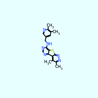 Cc1cc(CNc2ncnc3c2sc2nnc(C)c(C)c23)cnc1C